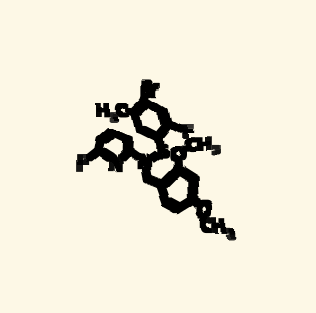 COc1ccc(CN(Sc2cc(C)c(Br)cc2F)c2cccc(F)n2)c(OC)c1